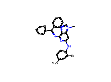 CCc1cc(SC)ccc1Nc1cc2c(ncn2C)c(N=C(c2ccccc2)c2ccccc2)n1